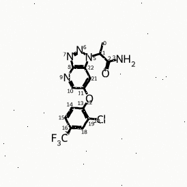 CC(C(N)=O)n1nnc2ncc(Oc3ccc(C(F)(F)F)cc3Cl)cc21